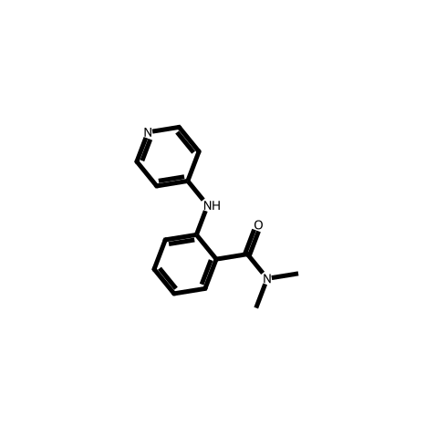 CN(C)C(=O)c1ccccc1Nc1ccncc1